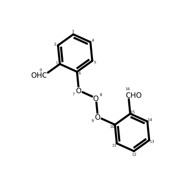 O=Cc1ccccc1OOOc1ccccc1C=O